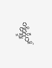 N#Cc1c(N)nc(SC(C(=O)c2ccccc2)[n+]2ccccc2)c(C#N)c1-c1ccc([N+](=O)[O-])cc1